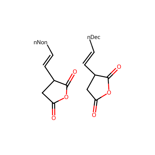 CCCCCCCCCC=CC1CC(=O)OC1=O.CCCCCCCCCCC=CC1CC(=O)OC1=O